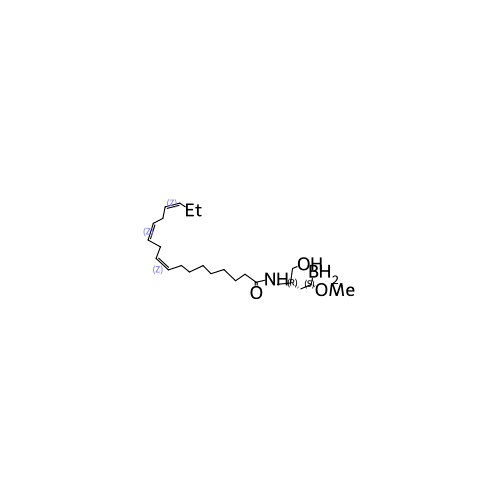 B[C@@H](C[C@@H](CO)CNC(=O)CCCCCCC/C=C\C/C=C\C/C=C\CC)OC